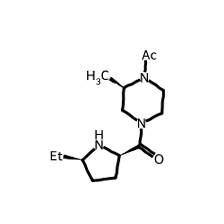 CC[C@@H]1CC[C@H](C(=O)N2CCN(C(C)=O)[C@H](C)C2)N1